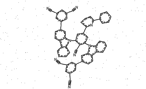 N#Cc1cc(C#N)cc(-c2ccc3c4ccccc4n(-c4cc(-c5cccc(-c6ccccc6)n5)cc(-n5c6ccccc6c6ccc(-c7cc(C#N)cc(C#N)c7)cc65)c4C#N)c3c2)c1